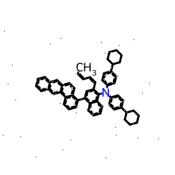 C/C=C\C=C/c1cc(-c2cccc3c2ccc2cc4ccccc4cc23)c2ccccc2c1N(c1ccc(C2CCCCC2)cc1)c1ccc(C2CCCCC2)cc1